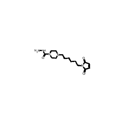 NNC(=O)N1CCN(CCCCCCN2C(=O)C=CC2=O)CC1